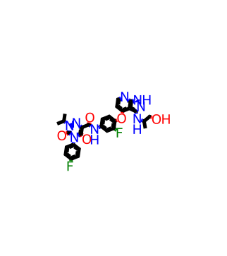 CC(CO)Nc1n[nH]c2nccc(Oc3ccc(NC(=O)c4nn(C(C)C)c(=O)n(-c5ccc(F)cc5)c4=O)cc3F)c12